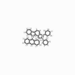 c1ccc(-c2cc3c(ccc4c5ccccc5n(-c5c6ccccc6cc6ccccc56)c43)n2-c2ccccc2)cc1